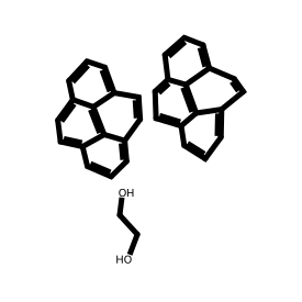 OCCO.c1cc2ccc3cccc4ccc(c1)c2c34.c1cc2ccc3cccc4ccc(c1)c2c34